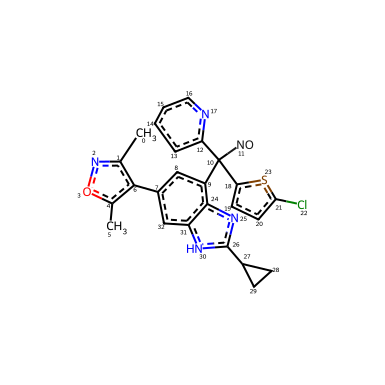 Cc1noc(C)c1-c1cc(C(N=O)(c2ccccn2)c2ccc(Cl)s2)c2nc(C3CC3)[nH]c2c1